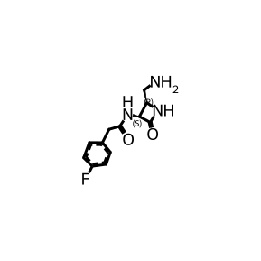 NC[C@H]1NC(=O)[C@H]1NC(=O)Cc1ccc(F)cc1